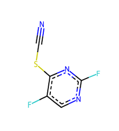 N#CSc1nc(F)ncc1F